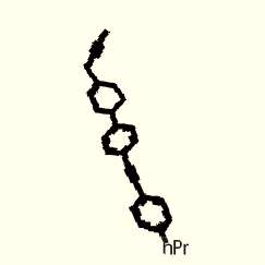 CC#CCC1CCC(c2ccc(C#Cc3ccc(CCC)cc3)cc2)CC1